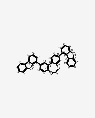 c1ccc2c(c1)oc1c(-c3ccc4c(c3)-c3ccc(-c5cccc6oc7ccccc7c56)cc3OCO4)cccc12